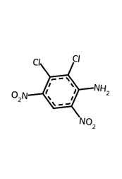 Nc1c([N+](=O)[O-])cc([N+](=O)[O-])c(Cl)c1Cl